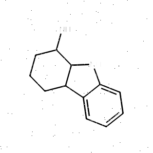 NC1CCCC2c3ccccc3NC12